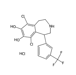 Cl.Oc1c(O)c(Cl)c2c(c1Cl)CCNCC2c1cccc(C(F)(F)F)c1